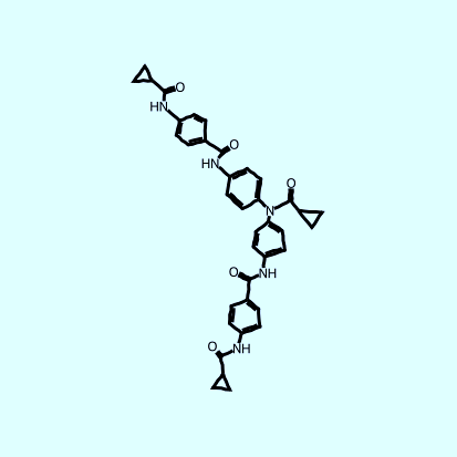 O=C(Nc1ccc(N(C(=O)C2CC2)c2ccc(NC(=O)c3ccc(NC(=O)C4CC4)cc3)cc2)cc1)c1ccc(NC(=O)C2CC2)cc1